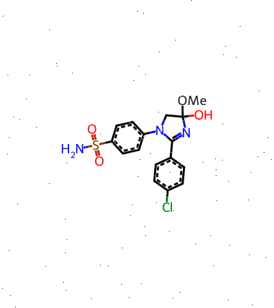 COC1(O)CN(c2ccc(S(N)(=O)=O)cc2)C(c2ccc(Cl)cc2)=N1